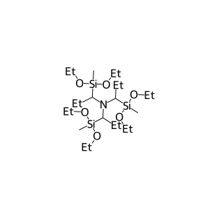 CCO[Si](C)(OCC)C(CC)N(C(CC)[Si](C)(OCC)OCC)C(CC)[Si](C)(OCC)OCC